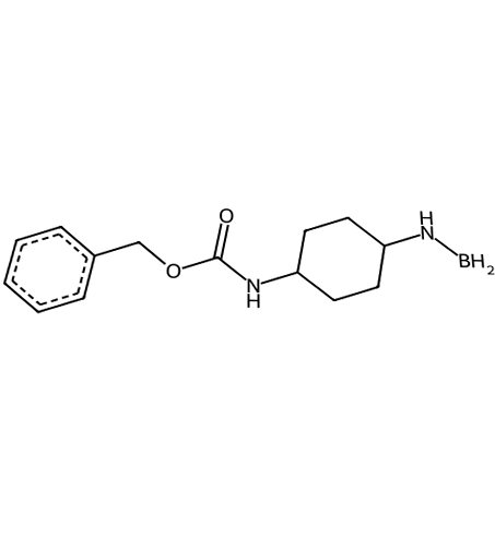 BNC1CCC(NC(=O)OCc2ccccc2)CC1